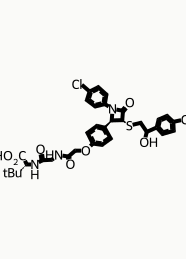 CC(C)(C)[C@@H](NC(=O)CNC(=O)COc1ccc([C@@H]2[C@@H](SCC(O)c3ccc(Cl)cc3)C(=O)N2c2ccc(Cl)cc2)cc1)C(=O)O